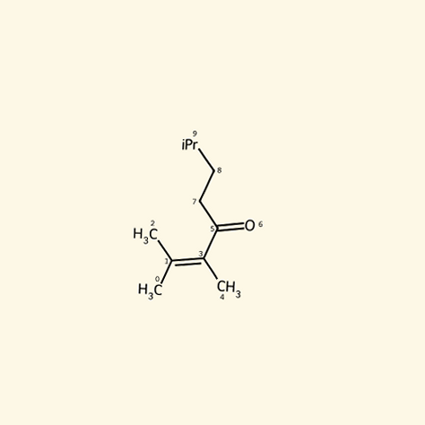 CC(C)=C(C)C(=O)CCC(C)C